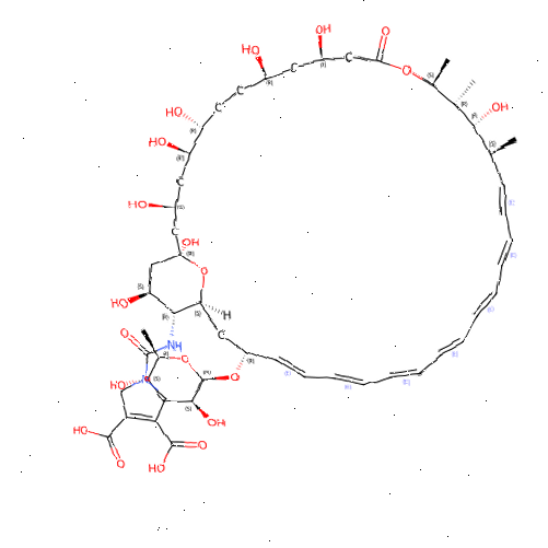 C[C@@H]1[C@H](O)[C@@H](C)/C=C/C=C/C=C/C=C/C=C/C=C/C=C/[C@H](O[C@@H]2O[C@H](C)[C@@H](O)C[C@@H]2O)C[C@@H]2O[C@](O)(C[C@@H](O)C[C@@H](O)[C@H](O)CC[C@@H](O)C[C@@H](O)CC(=O)O[C@H]1C)C[C@H](O)[C@H]2NC(=O)N1CC(C(=O)O)=C(C(=O)O)C1